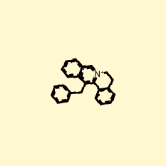 c1ccc(Cc2c3[n+](cc4ccccc24)CCc2ccccc2-3)cc1